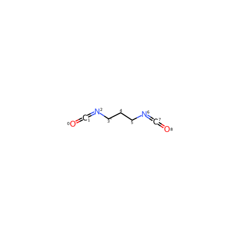 O=C=N[CH]CCN=C=O